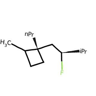 CCC[C@@]1(C[C@H](F)C(C)C)CCC1C